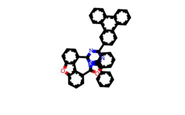 c1ccc(-c2nc(-c3ccc4c5ccccc5c5ccccc5c4c3)nc(-c3cccc4oc5cccc(-c6nc7ccccc7o6)c5c34)n2)cc1